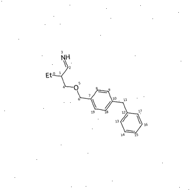 CCC(C=N)COCc1ccc(Cc2ccccc2)cc1